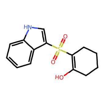 O=S(=O)(C1=C(O)CCCC1)c1c[nH]c2ccccc12